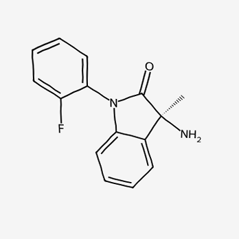 C[C@@]1(N)C(=O)N(c2ccccc2F)c2ccccc21